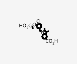 Cc1c(C)n(Cc2ccc(Cl)c(O[C@H](C)C(=O)O)c2)c2ccc(C(=O)O)cc12